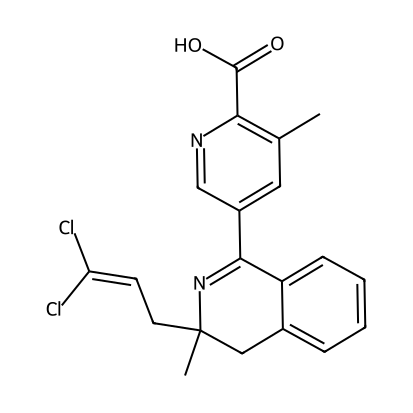 Cc1cc(C2=NC(C)(CC=C(Cl)Cl)Cc3ccccc32)cnc1C(=O)O